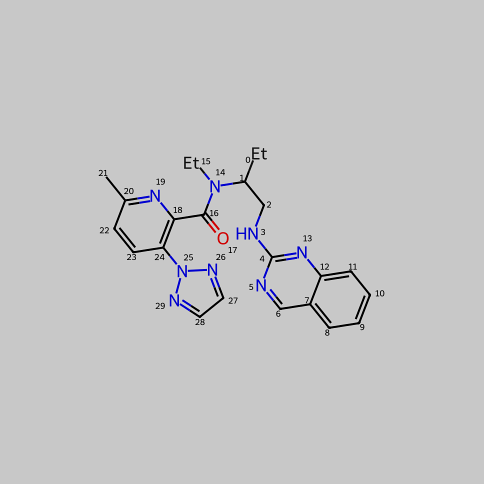 CCC(CNc1ncc2ccccc2n1)N(CC)C(=O)c1nc(C)ccc1-n1nccn1